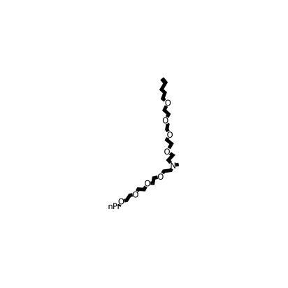 C=CCCCOCCOCCOCCOCCN(C)CCOCCOCCOCCOCCC